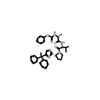 CC(C)[C@H](NC(=O)[C@H](C)NC(=O)Oc1ccccc1)C(=O)N1CCC[C@@H]1c1nc(C(C)(c2ccccc2)c2ccccc2)cs1